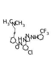 CN(C)CCC#Cc1cccc(C(=O)Nc2ccc(Cl)cc2-c2cc(NCc3cccc(C(F)(F)F)c3)ncn2)c1